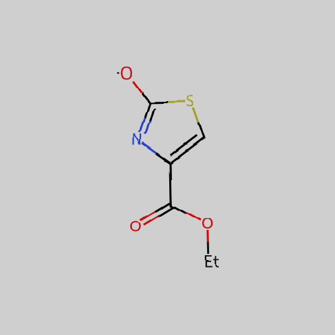 CCOC(=O)c1csc([O])n1